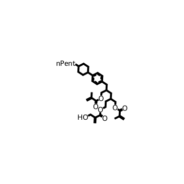 C=C(C)C(=O)OCC(CCOC(=O)C(=C)CO)CC(COC(=O)C(=C)C)Cc1ccc(C2CCC(CCCCC)CC2)cc1